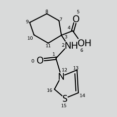 O=C(NC1(C(=O)O)CCCCC1)N1C=CSC1